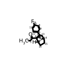 CCC(=O)C1=C(c2ccc(F)cc2)CC2CC[C@H]1S2